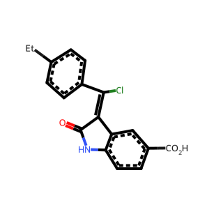 CCc1ccc(C(Cl)=C2C(=O)Nc3ccc(C(=O)O)cc32)cc1